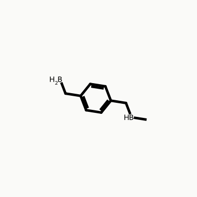 BCc1ccc(CBC)cc1